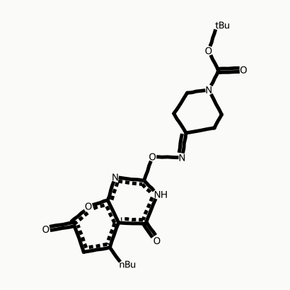 CCCCc1cc(=O)oc2nc(ON=C3CCN(C(=O)OC(C)(C)C)CC3)[nH]c(=O)c12